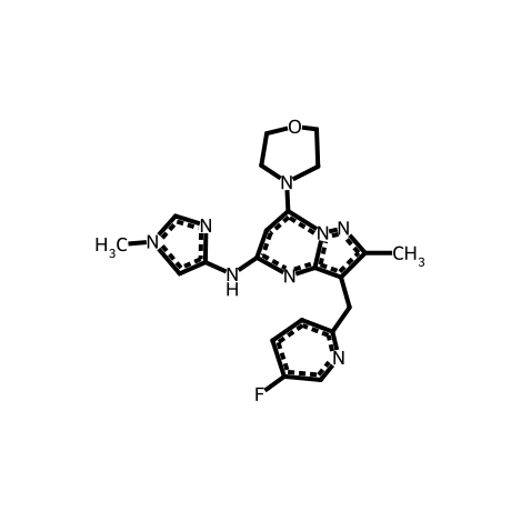 Cc1nn2c(N3CCOCC3)cc(Nc3cn(C)cn3)nc2c1Cc1ccc(F)cn1